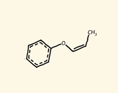 C/C=C\Oc1cc[c]cc1